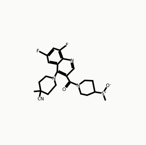 C[S+]([O-])C1CCN(C(=O)c2cnc3c(F)cc(F)cc3c2N2CCC(C)(C#N)CC2)CC1